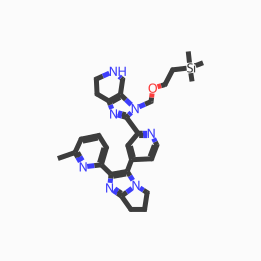 Cc1cccc(-c2nc3n(c2-c2ccnc(-c4nc5c(n4COCC[Si](C)(C)C)CNCC5)c2)CCC3)n1